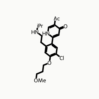 COCCCOc1cc(CCNC(C)C)c(-c2cc(=O)c(C(C)=O)c[nH]2)cc1Cl